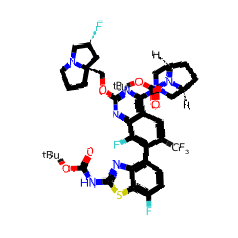 CC(C)(C)OC(=O)Nc1nc2c(-c3c(C(F)(F)F)cc4c(N5C[C@H]6CC[C@@H](C5)N6C(=O)OC(C)(C)C)nc(OC[C@@]56CCCN5C[C@H](F)C6)nc4c3F)ccc(F)c2s1